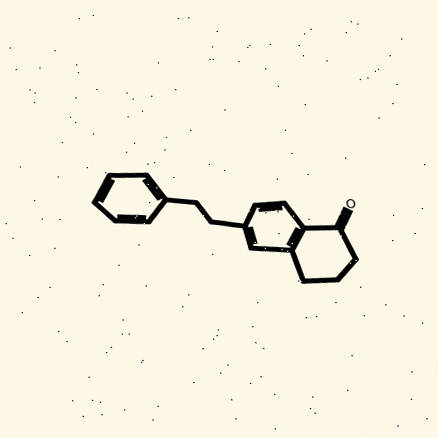 O=C1CCCc2cc(CCc3ccccc3)ccc21